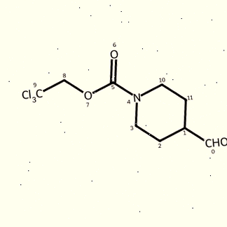 O=CC1CCN(C(=O)OCC(Cl)(Cl)Cl)CC1